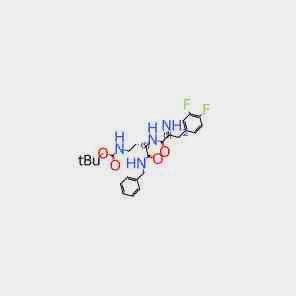 CC(C)(C)OC(=O)NCC[C@H](NC(=O)[C@@H](N)Cc1ccc(F)c(F)c1)C(=O)NCc1ccccc1